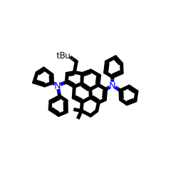 CC(C)(C)Cc1cc(N(c2ccccc2)c2ccccc2)c2cc3c4c(cc(N(c5ccccc5)c5ccccc5)c5ccc1c2c54)CCC3(C)C